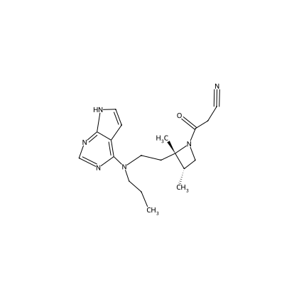 CCCN(CC[C@@]1(C)[C@@H](C)CN1C(=O)CC#N)c1ncnc2[nH]ccc12